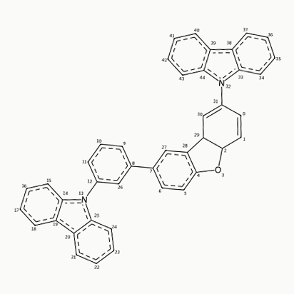 C1=CC2Oc3ccc(-c4cccc(-n5c6ccccc6c6ccccc65)c4)cc3C2C=C1n1c2ccccc2c2ccccc21